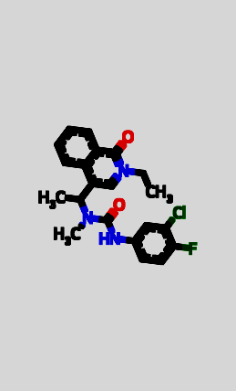 CCn1cc(C(C)N(C)C(=O)Nc2ccc(F)c(Cl)c2)c2ccccc2c1=O